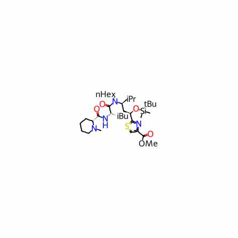 CCCCCCN(C(=O)[C@@H](NC(=O)[C@H]1CCCCN1C)[C@@H](C)CC)[C@H](C[C@@H](O[Si](C)(C)C(C)(C)C)c1nc(C(=O)OC)cs1)C(C)C